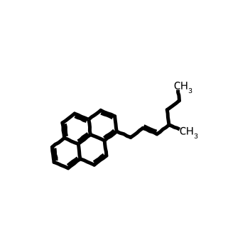 CCCC(C)C=CCc1ccc2ccc3cccc4ccc1c2c34